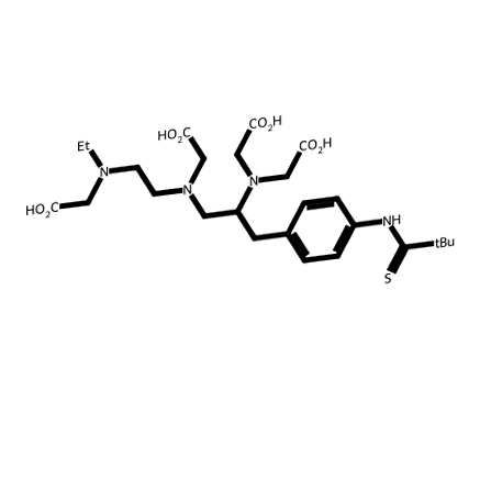 CCN(CCN(CC(=O)O)CC(Cc1ccc(NC(=S)C(C)(C)C)cc1)N(CC(=O)O)CC(=O)O)CC(=O)O